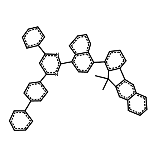 CC1(C)c2cc3ccccc3cc2-c2cccc(-c3ccc(-c4nc(-c5ccccc5)cc(-c5ccc(-c6ccccc6)cc5)n4)c4ccccc34)c21